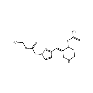 CCOC(=O)Cn1ccc(/C=C2\CNCCC2SC(C)=O)n1